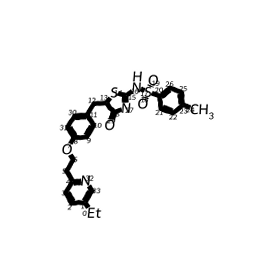 CCc1ccc(CCOc2ccc(CC3SC(NS(=O)(=O)c4ccc(C)cc4)=NC3=O)cc2)nc1